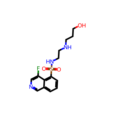 O=S(=O)(NCCNCCCO)c1cccc2cncc(F)c12